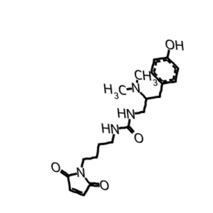 CN(C)C(CNC(=O)NCCCCN1C(=O)C=CC1=O)Cc1ccc(O)cc1